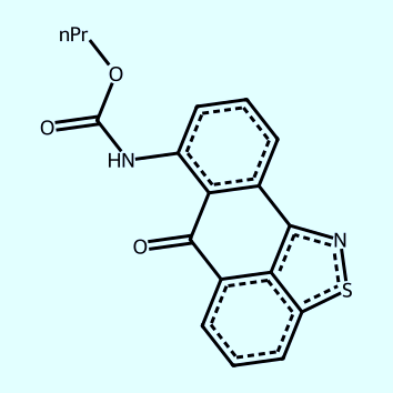 CCCOC(=O)Nc1cccc2c1C(=O)c1cccc3snc-2c13